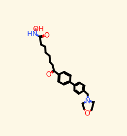 O=C(CCCCCCC(=O)c1ccc(-c2ccc(CN3CCOCC3)cc2)cc1)NO